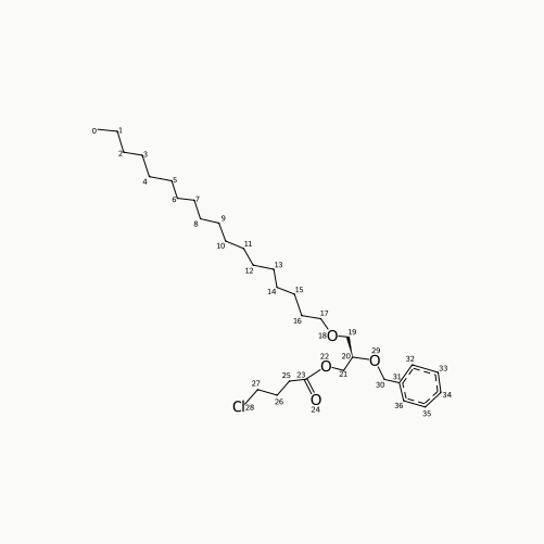 CCCCCCCCCCCCCCCCCCOC[C@H](COC(=O)CCCCl)OCc1ccccc1